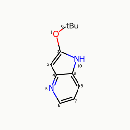 CC(C)(C)Oc1cc2ncccc2[nH]1